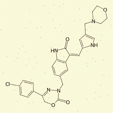 O=C1Nc2ccc(CN3N=C(c4ccc(Cl)cc4)COC3=O)cc2C1=Cc1cc(CN2CCOCC2)c[nH]1